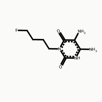 Nc1[nH]c(=O)n(CCCCF)c(=O)c1N